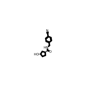 N#Cc1ccc(CNC(=O)[C@H]2CC[C@H](O)C2)cc1